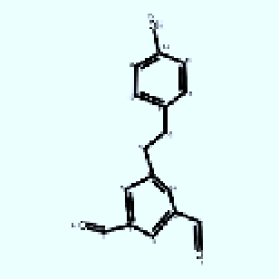 O=Cc1cc(C=O)cc(CCc2ccc(O)cc2)c1